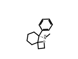 CN[C@@]1(c2ccccc2)CCCCC12CCO2